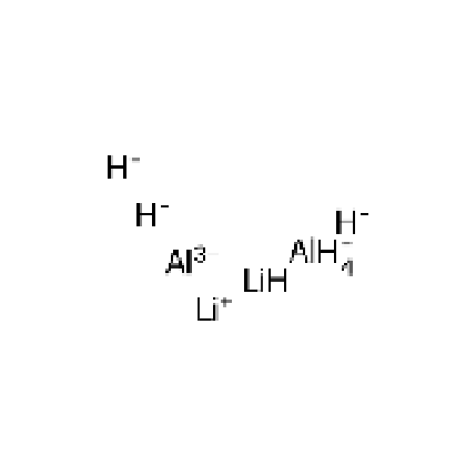 [Al+3].[AlH4-].[H-].[H-].[H-].[Li+].[LiH]